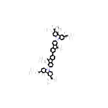 CC(C)(C)c1ccc2c(c1)c1c(n2-c2ccc3c(c2)C(C)(C)c2cc(-c4ccc5c(c4)C(C)(C)c4cc(-n6c7ccc(C(C)(C)C)cc7c7cc(C(C)(C)C)ccc76)ccc4-5)ccc2-3)=CCC(C(C)(C)C)C=1